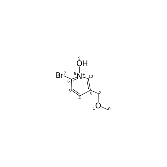 COCc1ccc(Br)[n+](O)c1